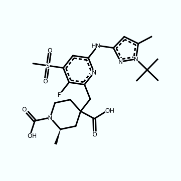 Cc1cc(Nc2cc(S(C)(=O)=O)c(F)c(CC3(C(=O)O)CCN(C(=O)O)[C@H](C)C3)n2)nn1C(C)(C)C